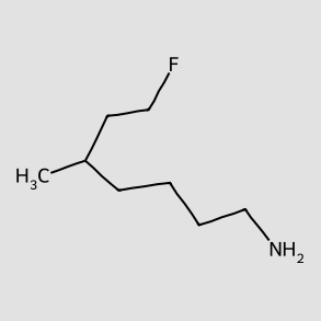 CC(CCF)CCCCN